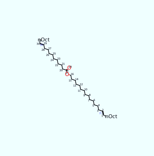 CCCCCCCC/C=C/CCCCCCCCCCCCCCOC(=O)CCCCCCCCC/C=C/CCCCCCCC